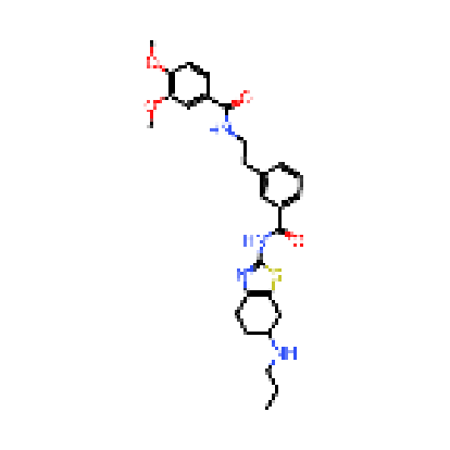 CCCN[C@H]1CCc2nc(NC(=O)c3cccc(CCNC(=O)c4ccc(OC)c(OC)c4)c3)sc2C1